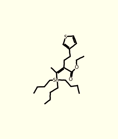 CCC[CH2][Sn]([CH2]CCC)([CH2]CCC)/[C](C)=C(/CCc1ccsc1)C(=O)OCC